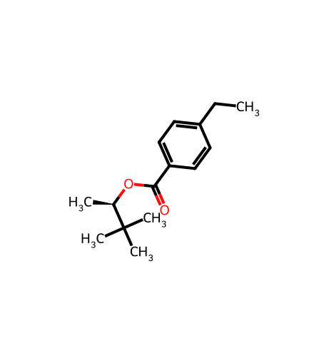 CCc1ccc(C(=O)O[C@H](C)C(C)(C)C)cc1